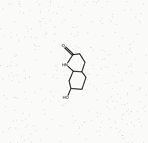 O=C1CCC2CCC(O)CC2N1